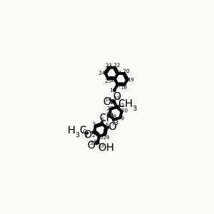 COc1cc(C)c(O[C@H]2CC[C@@](C)(C(=O)OCc3cccc4ccccc34)CC2)cc1C(=O)O